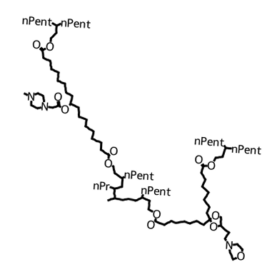 CCCCCC(CCCCC)CCOC(=O)CCCCCCCCC(CCCCCCCCC(=O)OCCC(CCCCC)CC(CCC)C(C)CCCC(CCCCC)CCOC(=O)CCCCCCCC1(CCCCCCCC(=O)OCCC(CCCCC)CCCCC)OCC(CCN2CCOCC2)O1)OC(=O)CN1CCN(C)CC1